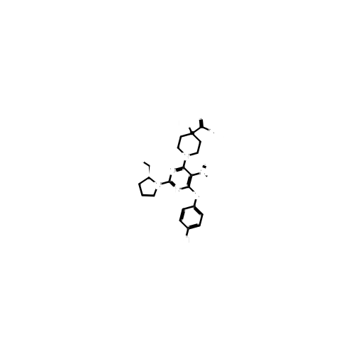 CC1(C(N)=O)CCN(c2nc(N3CCC[C@H]3CO)nc(Nc3ccc(Cl)cc3)c2[N+](=O)[O-])CC1